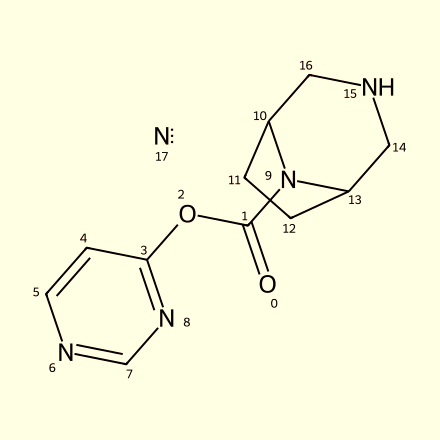 O=C(Oc1ccncn1)N1C2CCC1CNC2.[N]